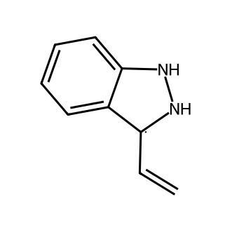 C=C[C]1NNc2ccccc21